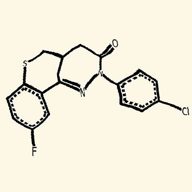 O=C1CC2CSc3ccc(F)cc3C2=NN1c1ccc(Cl)cc1